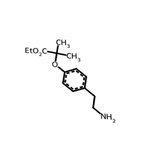 CCOC(=O)C(C)(C)Oc1ccc(CCN)cc1